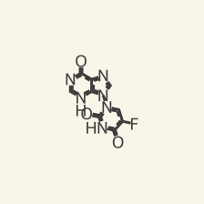 O=c1[nH]c(=O)n(-n2cnc3c(=O)nc[nH]c32)cc1F